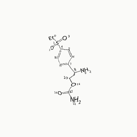 CCS(=O)(=O)c1ccc(C(N)COC(N)=O)cc1